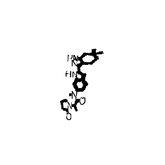 CC(C(=O)N(C)c1ccc2cc(-c3n[nH]c4c3CCC(C)(C)C4)[nH]c2c1)N1CCCC1=O